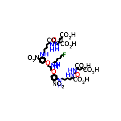 O=C(O)CC[C@H](NC(=O)NC(CCCCNc1cc(OCC(COc2ccc([N+](=O)[O-])c(NCCCC[C@H](NC(=O)N[C@@H](CCC(=O)O)C(=O)O)C(=O)O)c2)n2cc(CCCF)nn2)ccc1[N+](=O)[O-])C(=O)O)C(=O)O